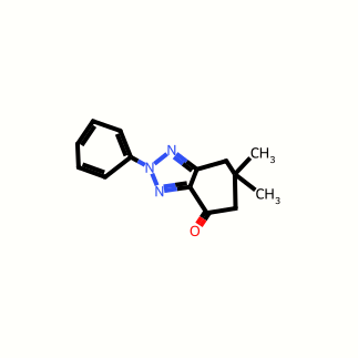 CC1(C)CC(=O)c2nn(-c3ccccc3)nc2C1